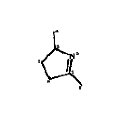 CC1=NC(C)CC1